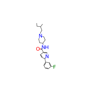 CCC(C)CCN1CCC(NC(=O)c2ccc(-c3cccc(F)c3)nc2)CC1